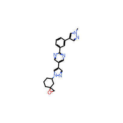 Cn1cc(-c2cccc(-c3ncc(-c4cnn(C5CCCC6(CO6)C5)c4)cn3)c2)cn1